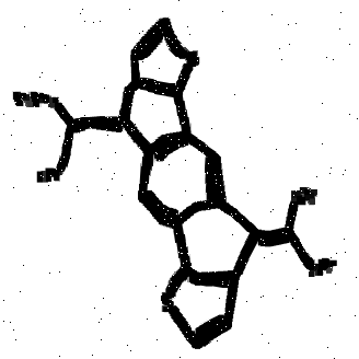 CCCC(CCC)=C1c2cc3c(cc2-c2sccc21)C(=C(CCC)CCC)c1ccsc1-3